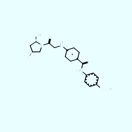 N#C[C@@H]1C[C@H](F)CN1C(=O)CNC12CCC(C(=O)Nc3ccc(C(=O)O)cc3)(CC1)CC2